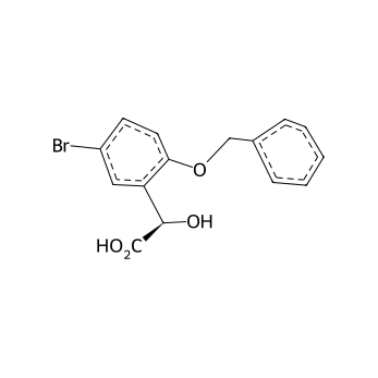 O=C(O)[C@H](O)c1cc(Br)ccc1OCc1ccccc1